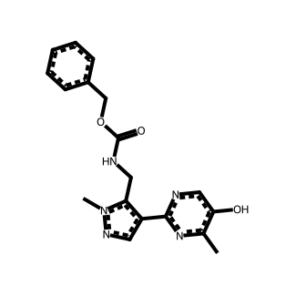 Cc1nc(-c2cnn(C)c2CNC(=O)OCc2ccccc2)ncc1O